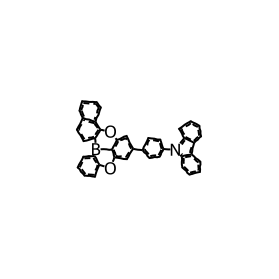 c1ccc2c(c1)Oc1cc(-c3ccc(-n4c5ccccc5c5ccccc54)cc3)cc3c1B2c1ccc2ccccc2c1O3